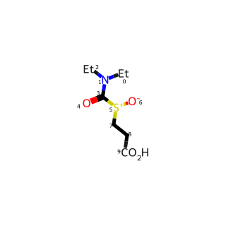 CCN(CC)C(=O)[S+]([O-])CCC(=O)O